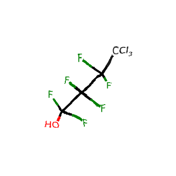 OC(F)(F)C(F)(F)C(F)(F)C(Cl)(Cl)Cl